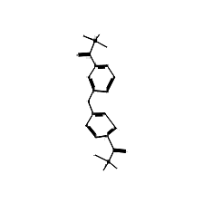 CC(C)(Br)C(=O)c1ccc(Cc2cccc(C(=O)C(C)(C)Br)c2)cc1